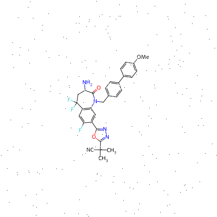 COc1ccc(-c2ccc(CN3C(=O)C(N)CC(F)(F)c4cc(F)c(-c5nnc(C(C)(C)C#N)o5)cc43)cc2)cc1